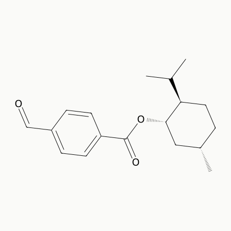 CC(C)[C@H]1CC[C@H](C)C[C@@H]1OC(=O)c1ccc(C=O)cc1